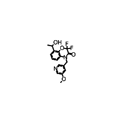 COc1cncc(CN2C(=O)C(F)(F)Oc3c(C(C)O)cccc32)c1